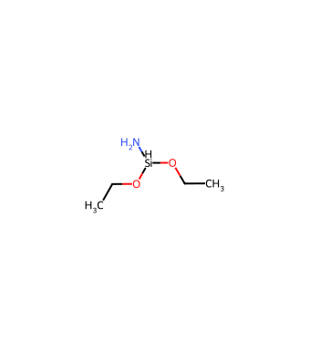 CCO[SiH](N)OCC